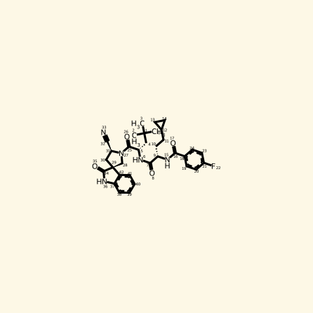 CC(C)(C)C[C@H](NC(=O)[C@H](CCC1CC1)NC(=O)c1ccc(F)cc1)C(=O)N1C[C@]2(C[C@H]1C#N)C(=O)Nc1ccccc12